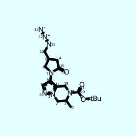 CC1Cn2ncc(N3CC(CN=[N+]=[N-])CC3=O)c2CN1C(=O)OC(C)(C)C